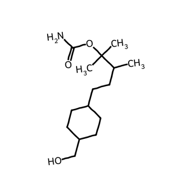 CC(CCC1CCC(CO)CC1)C(C)(C)OC(N)=O